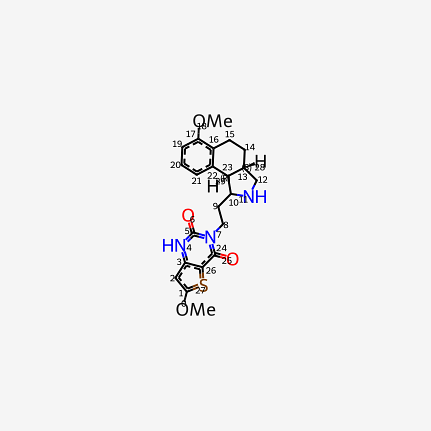 COc1cc2[nH]c(=O)n(CCC3NC[C@H]4CCc5c(OC)cccc5[C@H]34)c(=O)c2s1